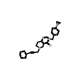 O=c1c2c(ncn1Cc1ccc(N3CC3)cc1)CCN(CC#Cc1ccccc1)C2